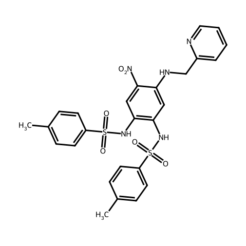 Cc1ccc(S(=O)(=O)Nc2cc(NCc3ccccn3)c([N+](=O)[O-])cc2NS(=O)(=O)c2ccc(C)cc2)cc1